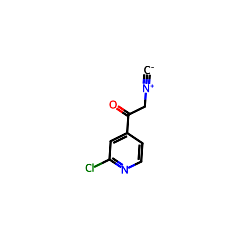 [C-]#[N+]CC(=O)c1ccnc(Cl)c1